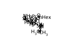 CCCCCCC(=O)OC(CCC)OC(=O)C1=C(CSc2nnnn2CCN(C)C)CS[C@@H]2[C@H](NC(=O)Cc3csc(N)n3)C(=O)N12